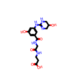 O=C(O)CCNC(=O)CNC(=O)c1cc(O)cc(NC2=NCC(O)CN2)c1